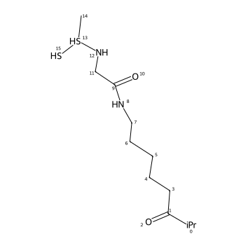 CC(C)C(=O)CCCCCNC(=O)CN[SH](C)S